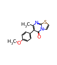 COc1ccc(-c2c(C)nc3sccn3c2=O)cc1